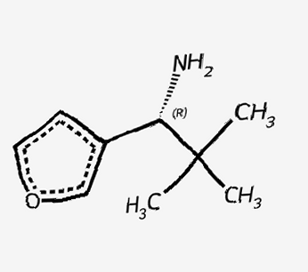 CC(C)(C)[C@@H](N)c1ccoc1